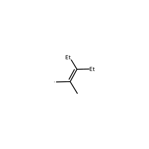 [CH2]C(C)=C(CC)CC